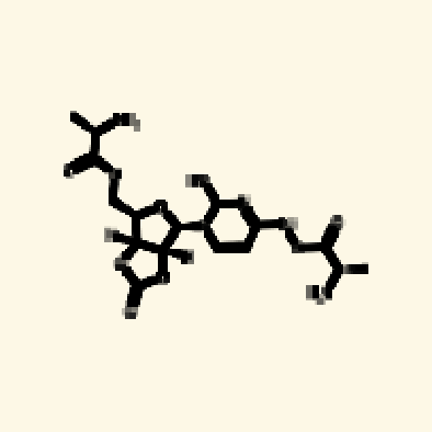 C[C@@H](N)C(=O)OC[C@H]1O[C@@H](N2C=CC(NOC(=O)[C@@H](C)N)=NC2O)[C@@H]2OC(=O)O[C@@H]21